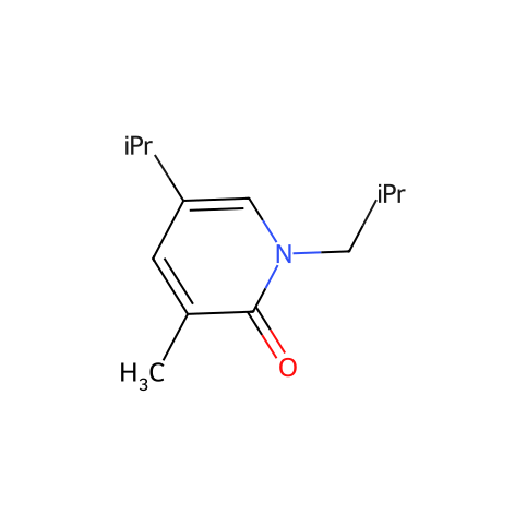 Cc1cc(C(C)C)cn(CC(C)C)c1=O